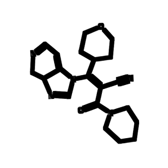 N#CC(C(=O)N1CCCCC1)=C(C1CCOCC1)N1C=NC2CN=CC=C21